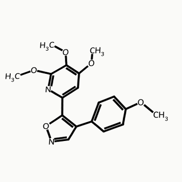 COc1ccc(-c2cnoc2-c2cc(OC)c(OC)c(OC)n2)cc1